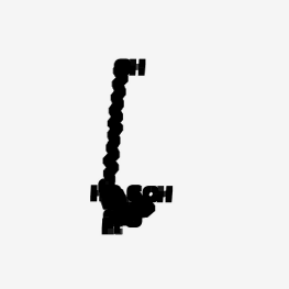 CCC(Oc1ccc(O)c(C(=O)O)c1)S(=O)(=O)c1ccc(OCCCCCCCCCCCCCCCCCCO)cc1